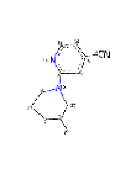 CC1CCCN(c2cc(C#N)ccn2)C1